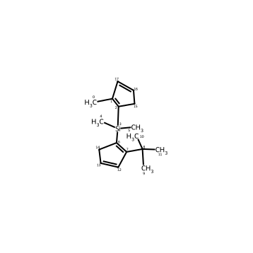 CC1=C([Si](C)(C)C2=C(C(C)(C)C)C=CC2)CC=C1